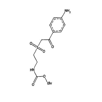 CC(C)(C)OC(=O)NCCS(=O)(=O)CC(=O)c1ccc(N)cc1